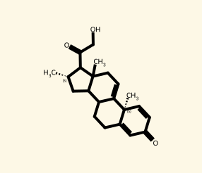 C[C@H]1CC2C3CCC4=CC(=O)C=C[C@]4(C)C3=CCC2(C)C1C(=O)CO